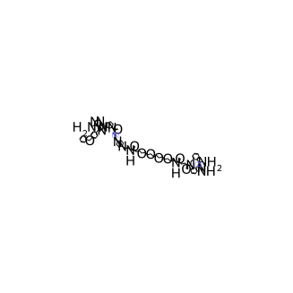 N=N/C1=C(\N)c2ccccc2CN(C(=O)CCC(=O)NCCOCCOCCOCCOCCC(=O)NCCN2CCN(C/C=C/C(=O)N3CCC[C@@H](n4nc(-c5ccc(Oc6ccccc6)cc5)c5c(N)ncnc54)C3)CC2)c2ccccc21